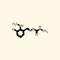 CNC(=O)ON=Cc1cccc(Cl)c1NC